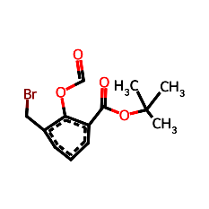 CC(C)(C)OC(=O)c1cccc(CBr)c1OC=O